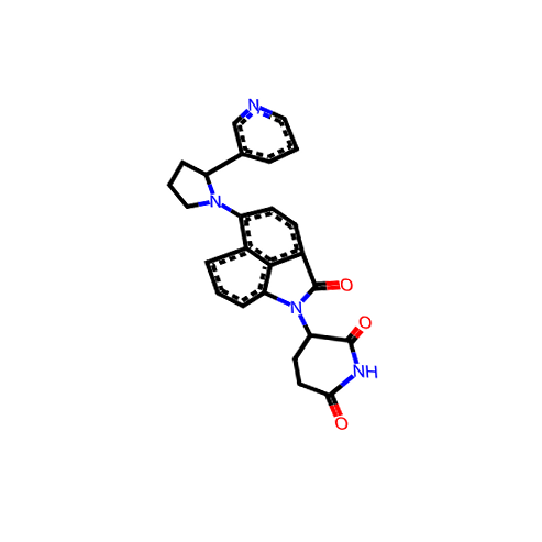 O=C1CCC(N2C(=O)c3ccc(N4CCCC4c4cccnc4)c4cccc2c34)C(=O)N1